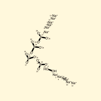 OO.[Na+].[Na+].[Na+].[Na+].[Na+].[Na+].[Na+].[Na+].[Na+].[Na+].[Na+].[Na+].[O-]B([O-])[O-].[O-]B([O-])[O-].[O-]B([O-])[O-].[O-]B([O-])[O-]